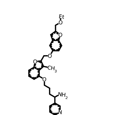 CCOCc1cc2cc(OCc3oc4cccc(OCCCC(N)c5cccnc5)c4c3C)ccc2o1